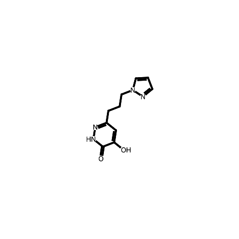 O=c1[nH]nc(CCCn2cccn2)cc1O